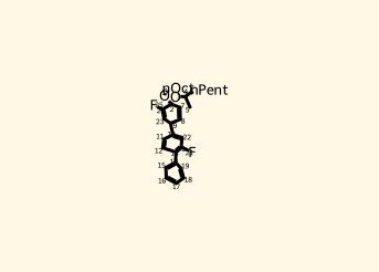 CCCCCCCCOC1(OC(C)CCCCC)C=CC(c2ccc(-c3ccccc3)c(F)c2)C=C1F